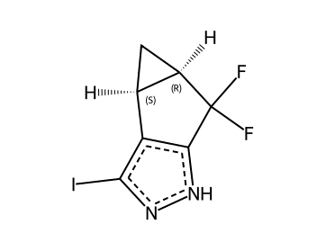 FC1(F)c2[nH]nc(I)c2[C@H]2C[C@H]21